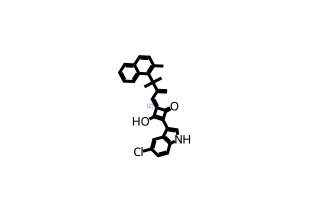 C=C(/C=C1\C(=O)C(c2c[nH]c3ccc(Cl)cc23)=C1O)C(C)(C)c1c(C)ccc2ccccc12